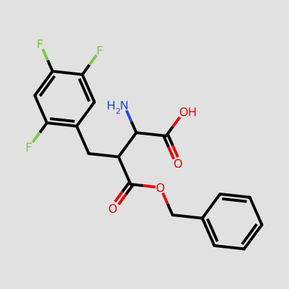 NC(C(=O)O)C(Cc1cc(F)c(F)cc1F)C(=O)OCc1ccccc1